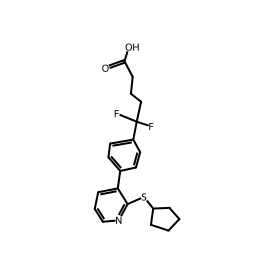 O=C(O)CCCC(F)(F)c1ccc(-c2cccnc2SC2CCCC2)cc1